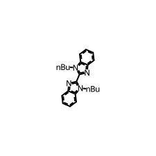 CCCCn1c(-c2nc3ccccc3n2CCCC)nc2ccccc21